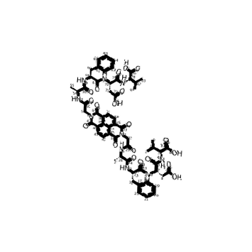 CC(C)[C@H](NC(=O)[C@H](CC(=O)O)NC(=O)[C@H](Cc1ccccc1)NC(=O)[C@H](C)NC(=O)CN1C(=O)c2ccc3c4c(ccc(c24)C1=O)C(=O)N(CC(=O)N[C@@H](C)C(=O)N[C@@H](Cc1ccccc1)C(=O)N[C@@H](CC(=O)O)C(=O)N[C@H](C(=O)O)C(C)C)C3=O)C(=O)O